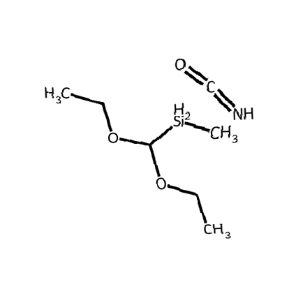 CCOC(OCC)[SiH2]C.N=C=O